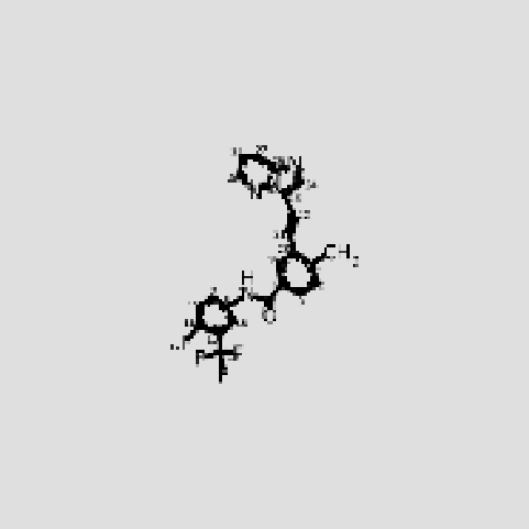 Cc1ccc(C(=O)Nc2ccc(I)c(C(F)(F)F)c2)cc1C#Cc1cnc2cccnn12